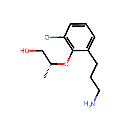 C[C@H](CO)Oc1c(Cl)cccc1CCCN